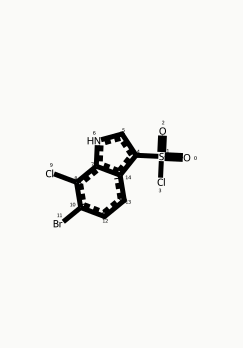 O=S(=O)(Cl)c1c[nH]c2c(Cl)c(Br)ccc12